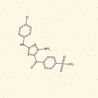 CS(=O)(=O)c1ccc(C(=O)c2sc(Nc3ccc(Cl)cc3)nc2N)cc1